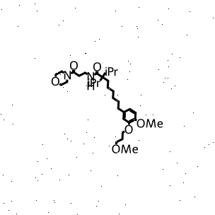 COCCCOc1cc(CCCCCCC(C(=O)NCCC(=O)N2CCOCC2)(C(C)C)C(C)C)ccc1OC